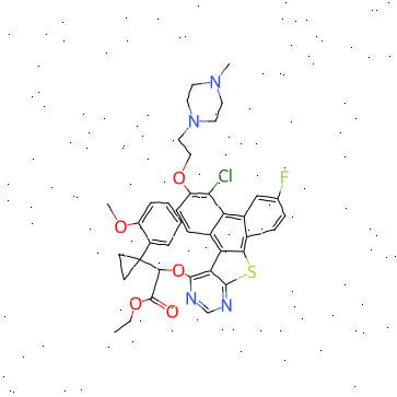 CCOC(=O)C(Oc1ncnc2sc3c4ccc(F)cc4c4c(Cl)c(OCCN5CCN(C)CC5)ccc4c3c12)C1(c2ccccc2OC)CC1